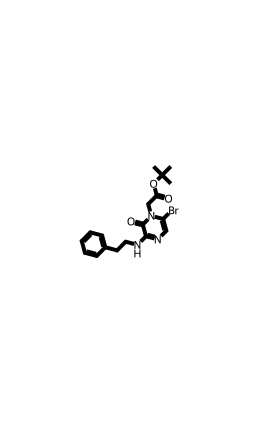 CC(C)(C)OC(=O)Cn1c(Br)cnc(NCCc2ccccc2)c1=O